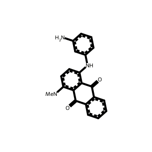 CNc1ccc(Nc2cccc(N)c2)c2c1C(=O)c1ccccc1C2=O